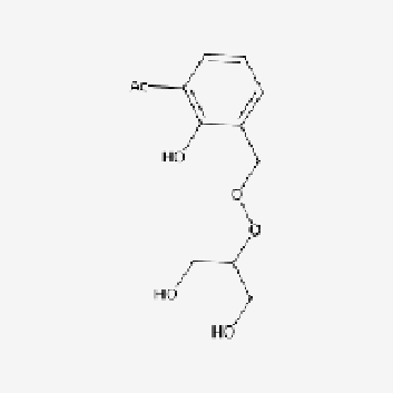 CC(=O)c1cccc(COOC(CO)CO)c1O